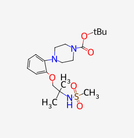 CC(C)(COc1ccccc1N1CCN(C(=O)OC(C)(C)C)CC1)NS(C)(=O)=O